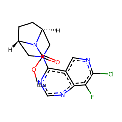 CC(C)(C)OC(=O)N1[C@H]2CC[C@H]1CN(c1ncnc3c(F)c(Cl)ncc13)C2